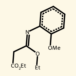 CCOC(=O)C/C(=N/c1ccccc1OC)OCC